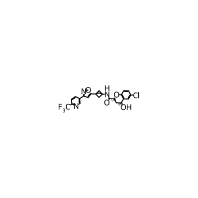 O=C(NC12CC(c3cc(-c4ccc(C(F)(F)F)nc4)no3)(C1)C2)[C@@H]1C[C@@H](O)c2cc(Cl)ccc2O1